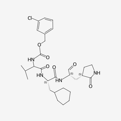 CC(C)C(NC(=O)OCc1cccc(Cl)c1)C(=O)N[C@@H](CC1CCCCC1)C(=O)N[C@H](C=O)C[C@@H]1CCNC1=O